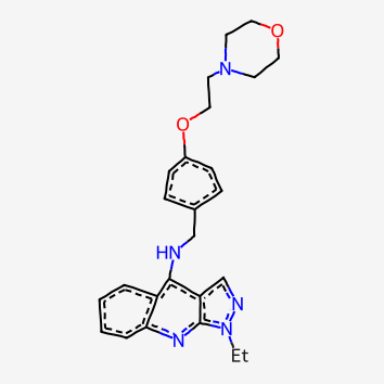 CCn1ncc2c(NCc3ccc(OCCN4CCOCC4)cc3)c3ccccc3nc21